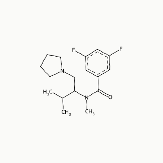 CC(C)C(CN1CCCC1)N(C)C(=O)c1cc(F)cc(F)c1